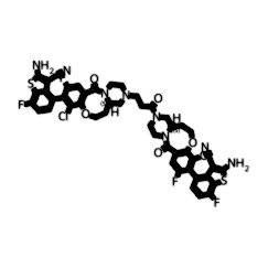 N#Cc1c(N)sc2c(F)ccc(-c3c(F)cc4c(c3Cl)OCC[C@H]3CN(CCC(=O)N5CCN6C(=O)c7cc(F)c(-c8ccc(F)c9sc(N)c(C#N)c89)c(Cl)c7OCC[C@H]6C5)CCN3C4=O)c12